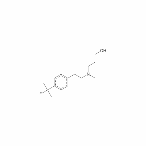 CN(CCCO)CCc1ccc(C(C)(C)F)cc1